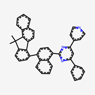 CC1(C)c2cccc(-c3ccc(-c4nc(-c5ccccc5)cc(-c5ccncc5)n4)c4ccccc34)c2-c2ccc3ccccc3c21